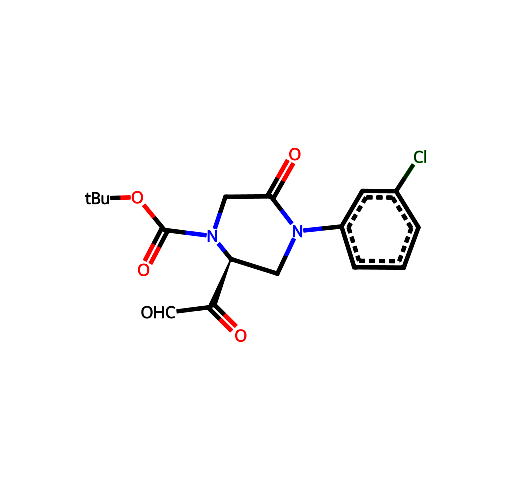 CC(C)(C)OC(=O)N1CC(=O)N(c2cccc(Cl)c2)C[C@H]1C(=O)C=O